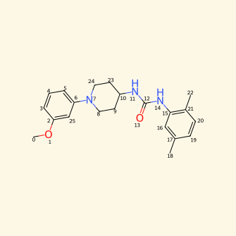 COc1cccc(N2CCC(NC(=O)Nc3cc(C)ccc3C)CC2)c1